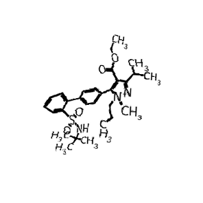 CCC[N+]1(C)N=C(C(C)C)C(C(=O)OCC)=C1c1ccc(-c2ccccc2S(=O)(=O)NC(C)(C)C)cc1